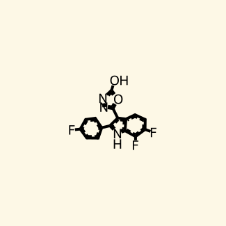 Oc1nnc(-c2c(-c3ccc(F)cc3)[nH]c3c(F)c(F)ccc23)o1